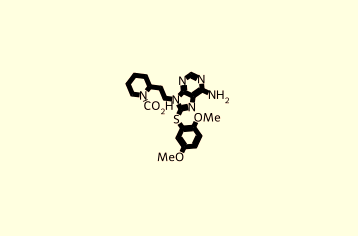 COc1ccc(OC)c(Sc2nc3c(N)ncnc3n2CCC2CCCCN2C(=O)O)c1